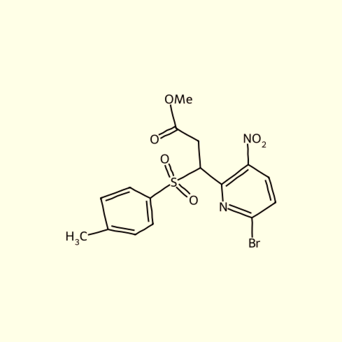 COC(=O)CC(c1nc(Br)ccc1[N+](=O)[O-])S(=O)(=O)c1ccc(C)cc1